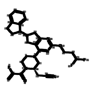 C=C(F)C(=O)N1CCN(c2nc(OCCC(F)F)nc3c2CN(C2CCc4ccccc42)C3)C[C@@H]1CC#N